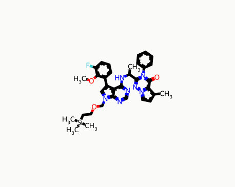 COc1c(F)cccc1-c1cn(COCC[Si](C)(C)C)c2ncnc(NC(C)c3nn4ccc(C)c4c(=O)n3-c3ccccc3)c12